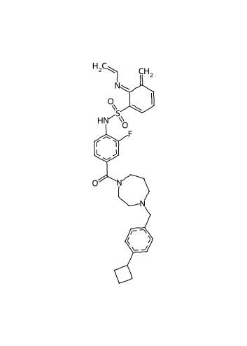 C=C/N=C1\C(=C)C=CC=C1S(=O)(=O)Nc1ccc(C(=O)N2CCCN(Cc3ccc(C4CCC4)cc3)CC2)cc1F